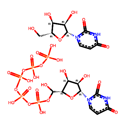 O=c1ccn([C@@H]2O[C@H](C(O)OP(=O)(O)OP(=O)(O)OP(=O)(O)OP(=O)(O)OP(=O)(O)O)[C@@H](O)[C@H]2O)c(=O)[nH]1.O=c1ccn([C@@H]2O[C@H](CO)[C@@H](O)[C@H]2O)c(=O)[nH]1